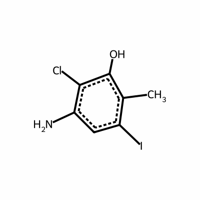 Cc1c(I)cc(N)c(Cl)c1O